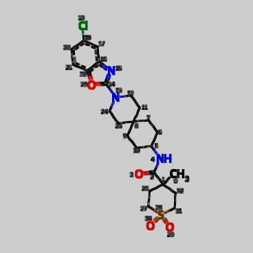 CC1(C(=O)NC2CCC3(CC2)CCN(c2nc4cc(Cl)ccc4o2)CC3)CCS(=O)(=O)CC1